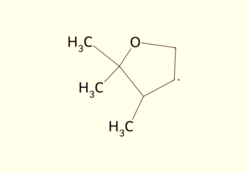 CC1[CH]COC1(C)C